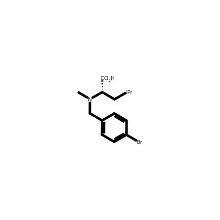 CC(C)C[C@@H](C(=O)O)N(C)Cc1ccc(Br)cc1